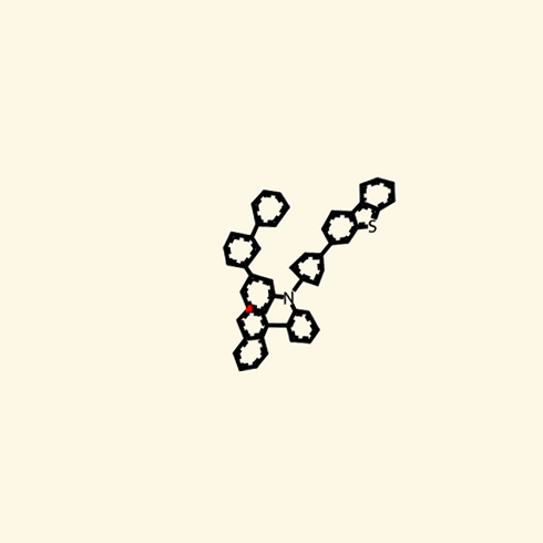 c1ccc(-c2cccc(-c3cccc(N(c4ccc(-c5ccc6c(c5)sc5ccccc56)cc4)c4ccccc4-c4cccc5ccccc45)c3)c2)cc1